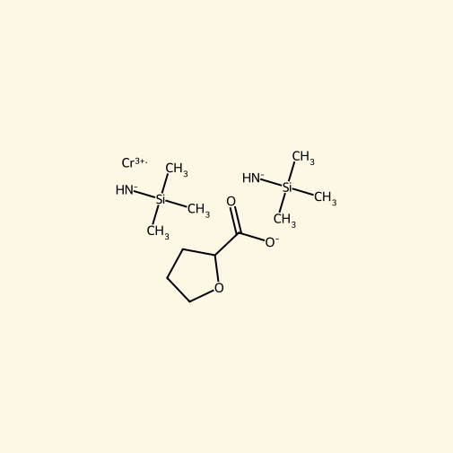 C[Si](C)(C)[NH-].C[Si](C)(C)[NH-].O=C([O-])C1CCCO1.[Cr+3]